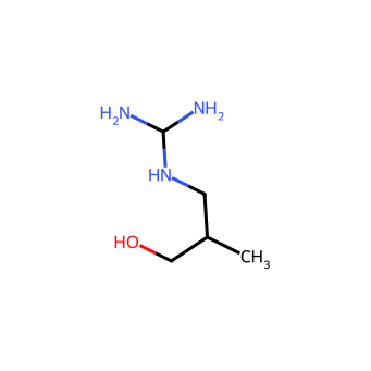 CC(CO)CNC(N)N